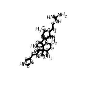 CC(=O)C1(C(=O)C(N)Cc2c[nH]cn2)C(F)CCN(C(=O)C(N)CCCNC(=N)N)C1(B(O)O)C(=O)C(N)CC(C)C